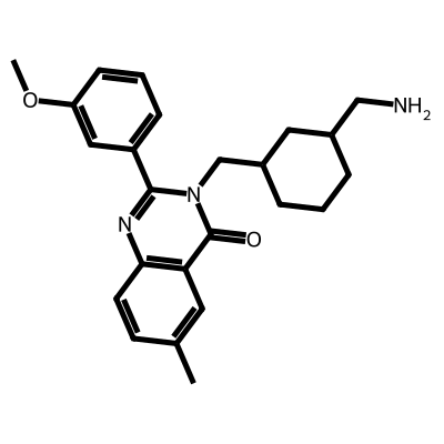 COc1cccc(-c2nc3ccc(C)cc3c(=O)n2CC2CCCC(CN)C2)c1